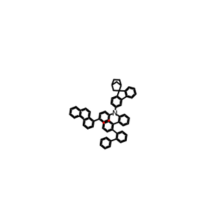 c1ccc(-c2ccccc2-c2ccccc2-c2ccccc2N(c2ccc(-c3cccc4c3ccc3ccccc34)cc2)c2ccc3c(c2)-c2ccccc2C32CC3CCC2C3)cc1